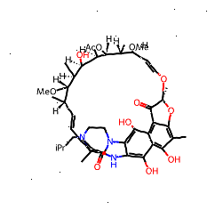 CO[C@@H]1[C@@H](C)[C@@H](O)[C@@H](C)[C@H](OC(C)=O)[C@H](C)[C@@H](OC)/C=C/O[C@@]2(C)Oc3c(C)c(O)c4c(O)c(c(N5CCN(CC(C)C)CC5)c(O)c4c3C2=O)NC(=O)/C(C)=C\C=C\[C@@H]1C